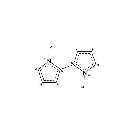 Cn1cccc1-c1cccn1C